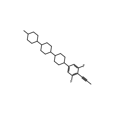 CC#Cc1c(F)cc(C2CCC(C3CCC(C4CCC(C)CC4)CC3)CC2)cc1F